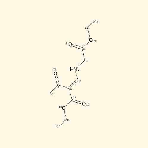 CCOC(=O)CN/C=C(\C(C)=O)C(=O)OCC